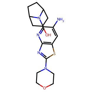 Nc1cc2sc(N3CCOCC3)nc2nc1N1C2CCC1CC(O)C2